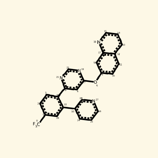 FC(F)(F)c1ccc(-c2cc(Oc3ccc4cccnc4c3)ncn2)c(-c2cccnc2)c1